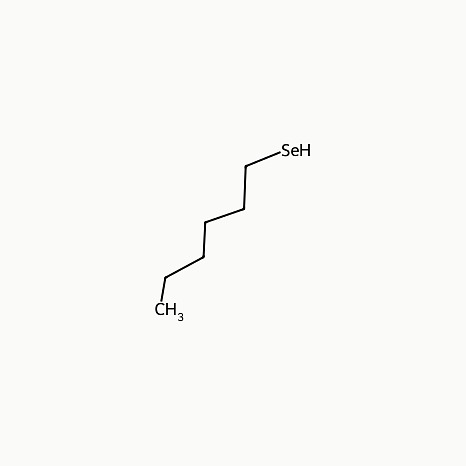 CCCCCC[SeH]